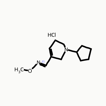 CO/N=C/C1=CCCN(C2CCCC2)C1.Cl